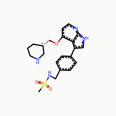 CS(=O)(=O)NCc1ccc(-c2c[nH]c3nccc(OC[C@H]4CCCNC4)c23)cc1